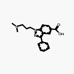 CN(C)CCCn1nc(-c2ccccc2)c2cc(C(=O)O)ccc21